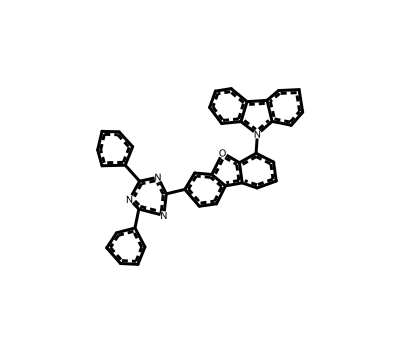 c1ccc(-c2nc(-c3ccccc3)nc(-c3ccc4c(c3)oc3c(-n5c6ccccc6c6ccccc65)cccc34)n2)cc1